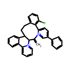 C=C1C2C(CCc3cccc(F)c3-c3ccc(-c4ccccc4)c[n+]31)c1ccccc1-c1cccc[n+]12